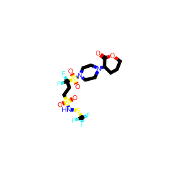 O=C1OCCCC1N1CCN(S(=O)(=O)C(F)(F)CCS(=O)(=O)NSC(F)(F)F)CC1